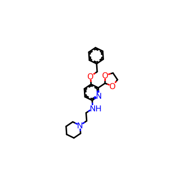 c1ccc(COc2ccc(NCCN3CCCCC3)nc2C2OCCO2)cc1